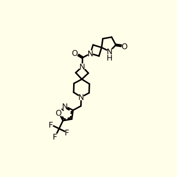 O=C1CCC2(CN(C(=O)N3CC4(CCN(Cc5cc(C(F)(F)F)on5)CC4)C3)C2)N1